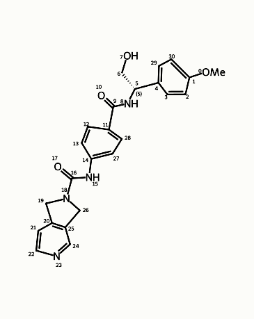 COc1ccc([C@@H](CO)NC(=O)c2ccc(NC(=O)N3Cc4ccncc4C3)cc2)cc1